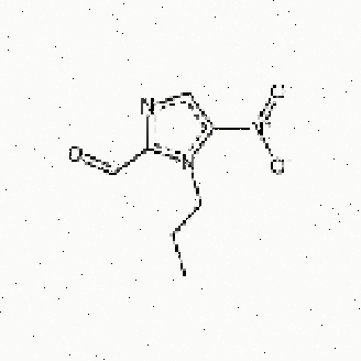 CCCn1c([N+](=O)[O-])cnc1C=O